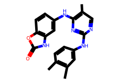 Cc1ccc(Nc2ncc(C)c(Nc3ccc4oc(=O)[nH]c4c3)n2)cc1C